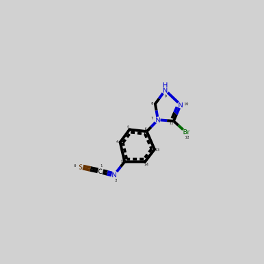 S=C=Nc1ccc(N2CNN=C2Br)cc1